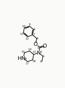 CCN(C(=O)OCc1ccccc1)C1CCNCC1